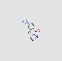 Nc1ccc(C(=O)c2ccccn2)c(Cl)c1